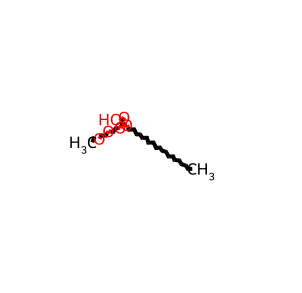 CCCCCCCCCCCCCCCCCCCCOC(OCCOCCOCC)C(=O)O